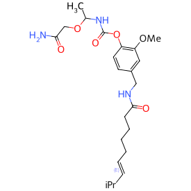 COc1cc(CNC(=O)CCCC/C=C/C(C)C)ccc1OC(=O)NC(C)OCC(N)=O